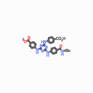 CC(C)(C)NC(=O)c1ccc(Nc2nc(Nc3ccc(C(=O)O)cc3)nc(Nc3ccc(C(=O)OI)cc3)n2)cc1